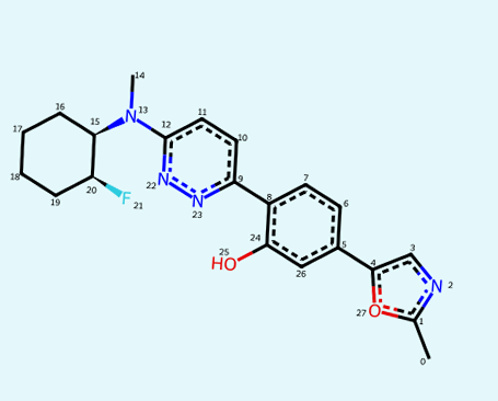 Cc1ncc(-c2ccc(-c3ccc(N(C)[C@@H]4CCCC[C@@H]4F)nn3)c(O)c2)o1